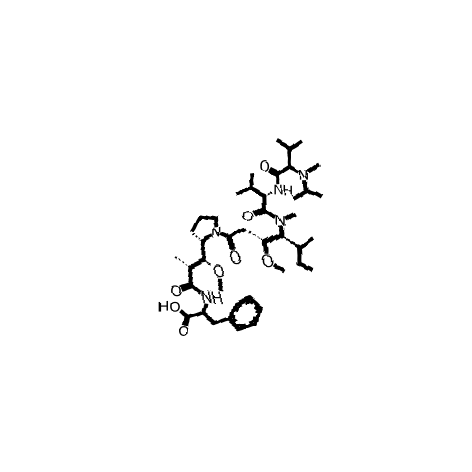 CCC(C)[C@@H]([C@@H](CC(=O)N1CCC[C@H]1[C@H](OC)[C@@H](C)C(=O)NC(Cc1ccccc1)C(=O)O)OC)N(C)C(=O)[C@@H](NC(=O)C(C(C)C)N(C)C(C)C)C(C)C